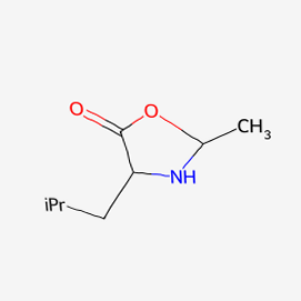 CC(C)CC1NC(C)OC1=O